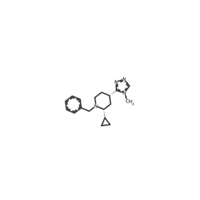 Cn1cnnc1[C@H]1CCN(Cc2ccccc2)[C@@H](C2CC2)C1